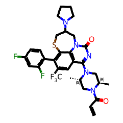 C=CC(=O)N1C[C@H](C)N(c2nc(=O)n3c4c(c(-c5ccc(F)cc5F)c(C(F)(F)F)cc24)SCC(N2CCCC2)C3)C[C@H]1C